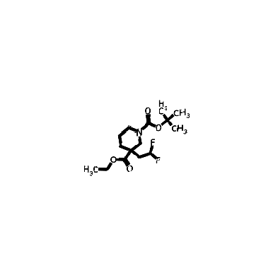 CCOC(=O)C1(CC(F)F)CCCN(C(=O)OC(C)(C)C)C1